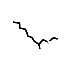 CCCCCCCC(C)COCC